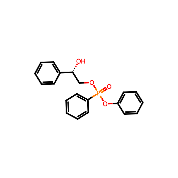 O=P(OC[C@@H](O)c1ccccc1)(Oc1ccccc1)c1ccccc1